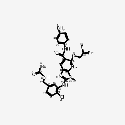 Bc1ccc(NC(=O)c2cc3nc(Nc4cc(CNC(=O)C(C)(C)C)ccc4Cl)n(C)c3nc2OCC(F)F)cc1